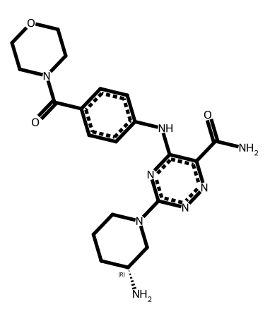 NC(=O)c1nnc(N2CCC[C@@H](N)C2)nc1Nc1ccc(C(=O)N2CCOCC2)cc1